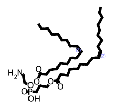 CCCCCCCC/C=C\CCCCCCCC(=O)OCC(CP(=O)(O)OCCN)OC(=O)CCCCCCC/C=C\CCCCCCCC